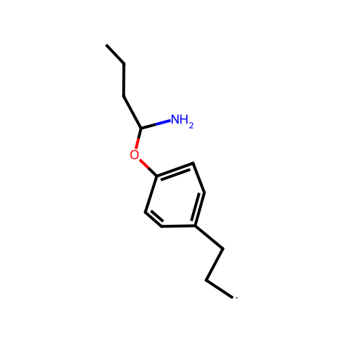 [CH2]CCc1ccc(OC(N)CCC)cc1